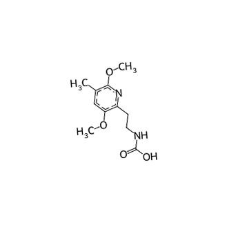 COc1cc(C)c(OC)nc1CCNC(=O)O